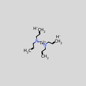 C=CC[N](CC=C)[Ti+2][N](CC=C)CC=C.[H-].[H-]